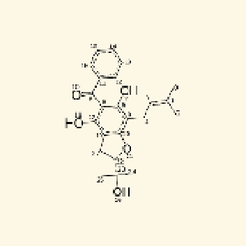 CC(C)=CCc1c(O)c(C(=O)c2ccccc2)c(O)c2c1O[C@H](C(C)(C)O)C2